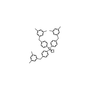 Cc1cc(C)cc(Cc2ccc([Si](Cl)(c3ccc(Cc4cc(C)cc(C)c4)cc3)c3ccc(Cc4cc(C)cc(C)c4)cc3)cc2)c1